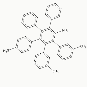 Cc1cccc(-c2c(N)c(-c3ccccc3)c(-c3ccccc3)c(-c3ccc(N)cc3)c2-c2cccc(C)c2)c1